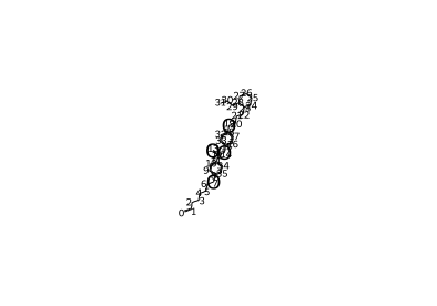 C=CCCCCCOc1ccc(C(=O)Oc2ccc(OCCCC3CCCCC3CCC)cc2)cc1